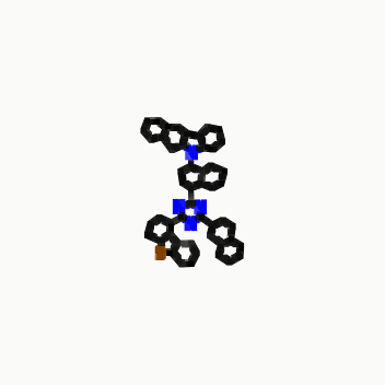 c1ccc2cc(-c3nc(-c4ccc(-n5c6ccccc6c6cc7ccccc7cc65)c5ccccc45)nc(-c4cccc5sc6ccccc6c45)n3)ccc2c1